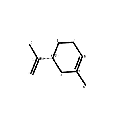 C=C(C)[C@@H]1CCC=C(C)C1